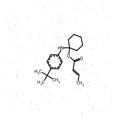 C/C=C/C(=O)OC1(Nc2ccc(C(C)(C)C)cc2)CCCCC1